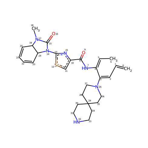 C=C/C=C(\C(=C/C)NC(=O)c1csc(N2C(=O)N(C)C3C=CC=CC32)n1)N1CCC2(CCNCC2)CC1